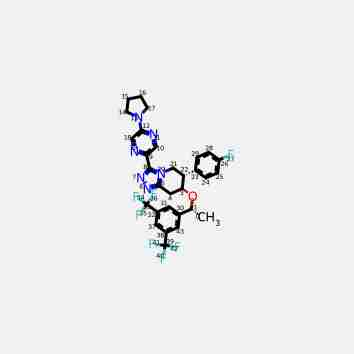 C[C@@H](O[C@H]1Cc2nnc(-c3cnc(N4CCCC4)cn3)n2C[C@@H]1c1ccc(F)cc1)c1cc(C(F)(F)F)cc(C(F)(F)F)c1